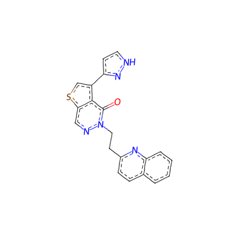 O=c1c2c(-c3cc[nH]n3)csc2cnn1CCc1ccc2ccccc2n1